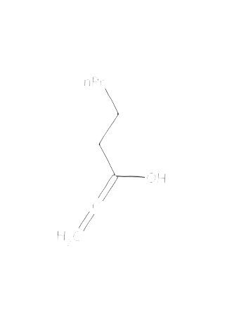 C=C=C(O)CCCCC